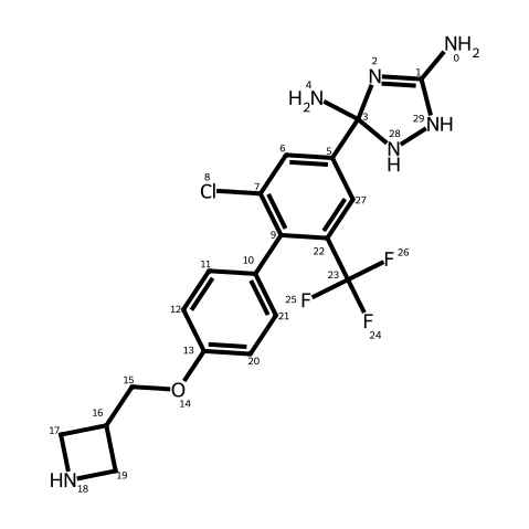 NC1=NC(N)(c2cc(Cl)c(-c3ccc(OCC4CNC4)cc3)c(C(F)(F)F)c2)NN1